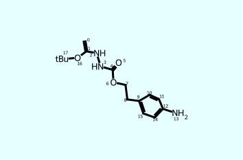 C=C(NNC(=O)OCCc1ccc(N)cc1)OC(C)(C)C